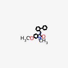 CCOc1ccc2c(c1)N(C)C(=O)/C2=C/c1ccccc1-c1ccccc1